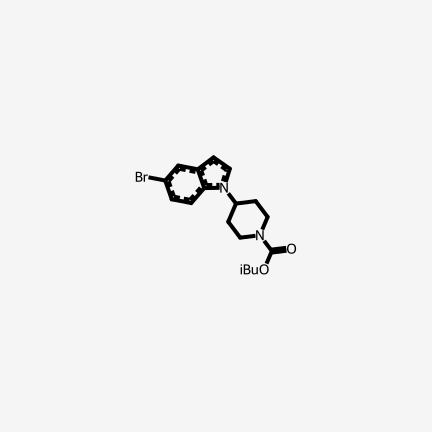 CC(C)COC(=O)N1CCC(n2ccc3cc(Br)ccc32)CC1